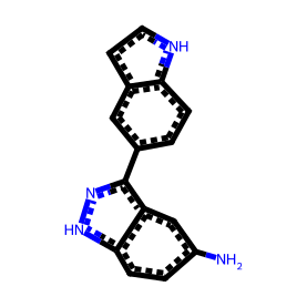 Nc1ccc2[nH]nc(-c3ccc4[nH]ccc4c3)c2c1